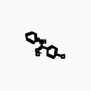 O=C(N[n+]1ccccc1)c1ccc(Cl)cc1.[Cl-]